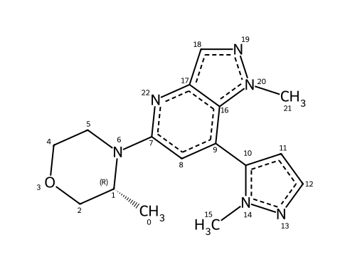 C[C@@H]1COCCN1c1cc(-c2ccnn2C)c2c(cnn2C)n1